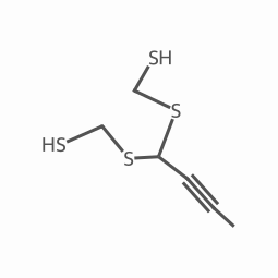 CC#CC(SCS)SCS